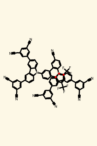 N#Cc1cc(C#N)cc(-c2ccc3c(c2)c2cc(-c4cc(C#N)cc(C#N)c4)ccc2n3-c2ccc(-c3cc(C(F)(F)F)cc(C(F)(F)F)c3)c(-c3cc(C#N)ccc3-n3c4ccc(-c5cc(C#N)cc(C#N)c5)cc4c4cc(-c5cc(C#N)cc(C#N)c5)ccc43)c2)c1